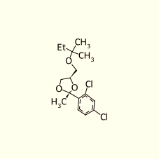 CCC(C)(C)OC[C@@H]1CO[C@@](C)(c2ccc(Cl)cc2Cl)O1